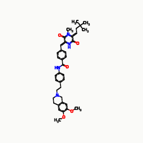 COc1cc2c(cc1OC)CN(CCc1ccc(NC(=O)c3ccc(/C=c4\[nH]c(=O)/c(=C/CC(C)(C)C)n(C)c4=O)cc3)cc1)CC2